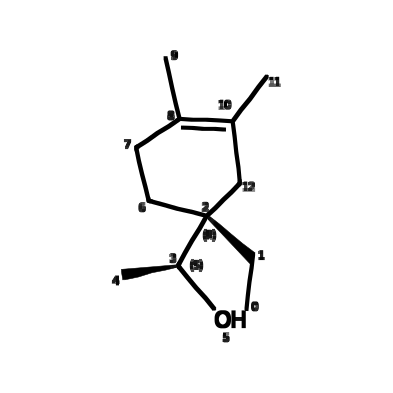 CC[C@@]1([C@H](C)O)CCC(C)=C(C)C1